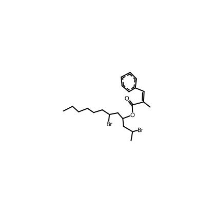 CCCCCCC(Br)CC(CC(C)Br)OC(=O)C(C)=Cc1ccccc1